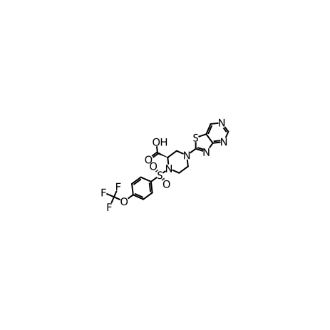 O=C(O)[C@H]1CN(c2nc3ncncc3s2)CCN1S(=O)(=O)c1ccc(OC(F)(F)F)cc1